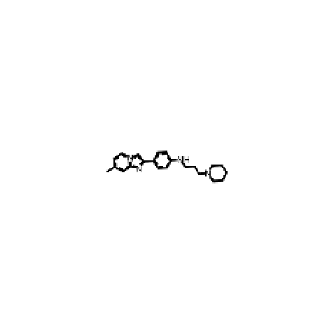 Cc1ccn2cc(-c3ccc(NCCCN4CCCCC4)cc3)nc2c1